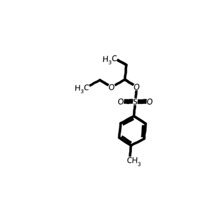 CCOC(CC)OS(=O)(=O)c1ccc(C)cc1